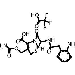 NC(=O)OCC1=C(C(=O)O)N2C(=O)C(NC(=O)Cc3ccccc3N)[C@H]2SC1.O=C(O)C(F)(F)F